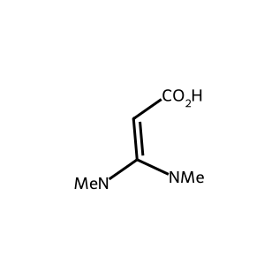 CNC(=CC(=O)O)NC